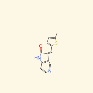 Cc1ccc(C=C2C(=O)Nc3ccncc32)s1